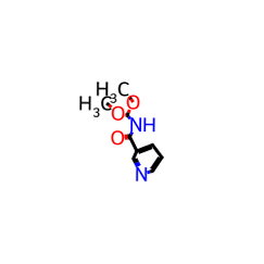 COC(NC(=O)c1cccnc1)OC